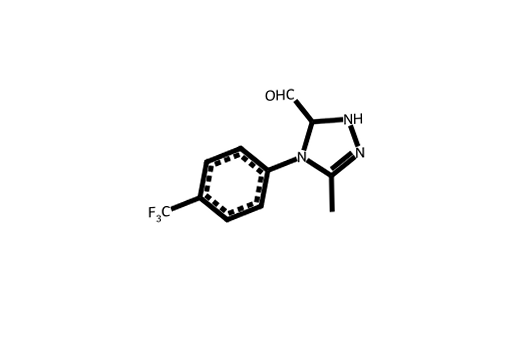 CC1=NNC(C=O)N1c1ccc(C(F)(F)F)cc1